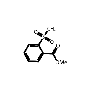 COC(=O)c1ccccc1S(C)(=O)=O